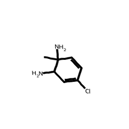 CC1(N)C=CC(Cl)=CC1N